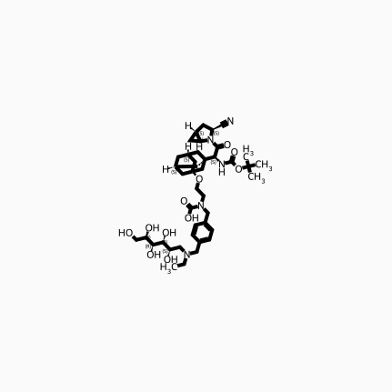 CCN(Cc1ccc(CN(CCO[C@]23C[C@H]4C[C@H](C2)C[C@@]([C@H](NC(=O)OC(C)(C)C)C(=O)N2[C@H](C#N)C[C@@H]5C[C@@H]52)(C4)C3)C(=O)O)cc1)C[C@H](O)[C@@H](O)[C@H](O)[C@H](O)CO